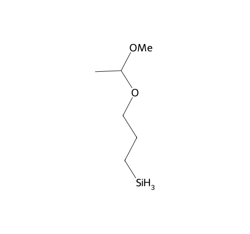 COC(C)OCCC[SiH3]